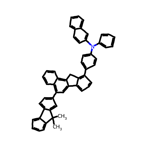 CC1(C)c2ccccc2-c2ccc(-c3cc4c(c5ccccc35)Cc3c(-c5ccc(N(c6ccccc6)c6ccc7ccccc7c6)cc5)cccc3-4)cc21